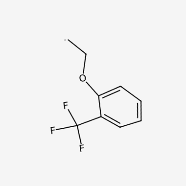 [CH2]COc1ccccc1C(F)(F)F